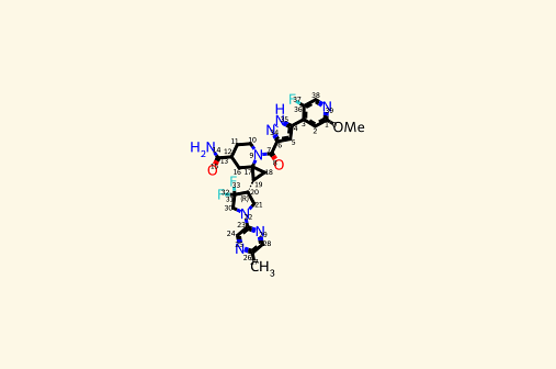 COc1cc(-c2cc(C(=O)N3CCC(C(N)=O)CC34CC4[C@@H]3CN(c4cnc(C)cn4)CC3(F)F)n[nH]2)c(F)cn1